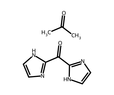 CC(C)=O.O=C(c1ncc[nH]1)c1ncc[nH]1